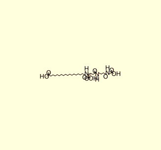 O=C(O)CCCCCCCCCCCCCCCCC(=O)N[C@@H](CCC(=O)NCCCC(=O)NCC(=O)O)C(=O)O